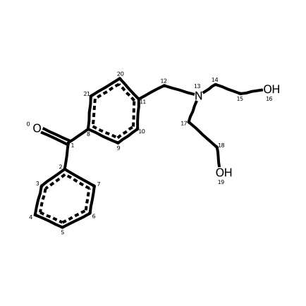 O=C(c1ccccc1)c1ccc(CN(CCO)CCO)cc1